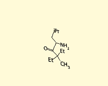 CCC(C)(CC)C(=O)C(N)CC(C)C